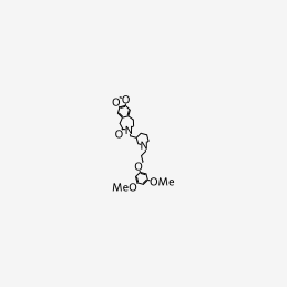 COc1cc(OC)cc(OCCCN2CCCC(CN3CCc4cc5c(cc4CC3=O)OCO5)C2)c1